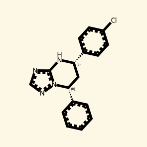 Clc1ccc([C@@H]2C[C@H](c3ccccc3)n3ncnc3N2)cc1